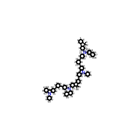 CC1(C)c2ccccc2-c2ccc(N(c3ccc(-c4cccc(-c5ccc6c(c5)c5ccc(-c7ccc8c(c7)-c7ccc(N(c9ccc(-c%10cccc(-c%11ccc%12c(c%11)c%11ccccc%11n%12-c%11ccccc%11)c%10)cc9)c9cccc%10ccccc9%10)cc7C8(C)C)cc5n6-c5ccccc5)c4)cc3)c3ccc4ccccc4c3)cc21